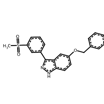 CS(=O)(=O)c1cccc(-c2n[nH]c3ccc(OCc4ccccc4)cc23)c1